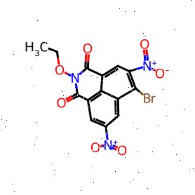 CCON1C(=O)c2cc([N+](=O)[O-])cc3c(Br)c([N+](=O)[O-])cc(c23)C1=O